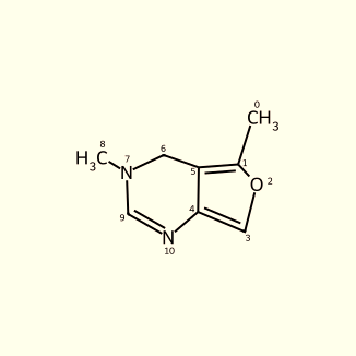 Cc1occ2c1CN(C)C=N2